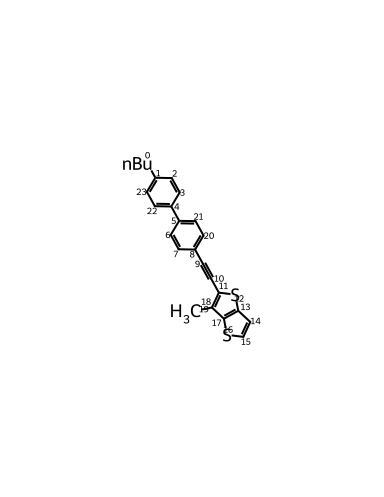 CCCCc1ccc(-c2ccc(C#Cc3sc4ccsc4c3C)cc2)cc1